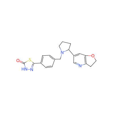 O=c1[nH]nc(-c2ccc(CN3CCCC3c3cnc4c(c3)OCC4)cc2)s1